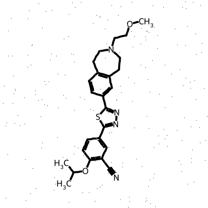 COCCN1CCc2ccc(-c3nnc(-c4ccc(OC(C)C)c(C#N)c4)s3)cc2CC1